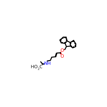 C[C@@H](NCCCC=CC(=O)OCC1c2ccccc2-c2ccccc21)C(=O)O